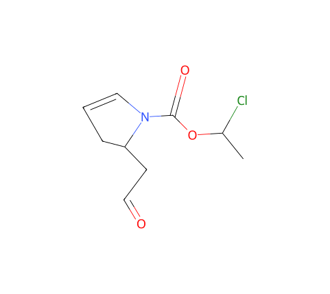 CC(Cl)OC(=O)N1C=CCC1CC=O